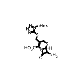 CCCCCCn1nnnc1SCC1=C(C(=O)O)N2C(=O)C(N)[C@@H]2SC1